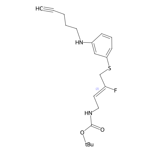 C#CCCCNc1cccc(SC/C(F)=C/CNC(=O)OC(C)(C)C)c1